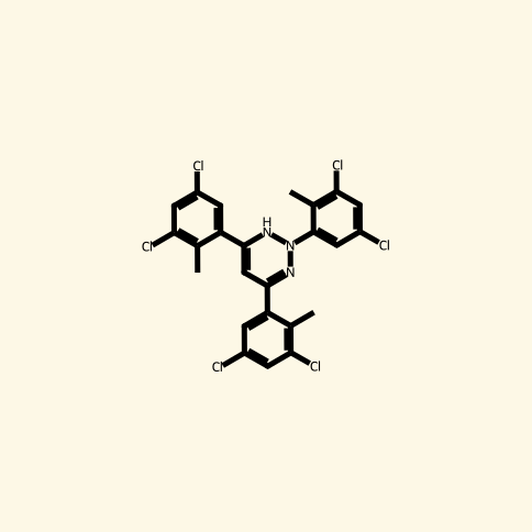 Cc1c(Cl)cc(Cl)cc1C1=CC(c2cc(Cl)cc(Cl)c2C)=NN(c2cc(Cl)cc(Cl)c2C)N1